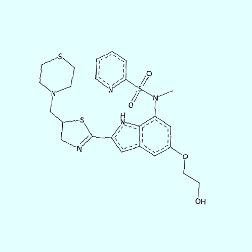 CN(c1cc(OCCO)cc2cc(C3=NCC(CN4CCSCC4)S3)[nH]c12)S(=O)(=O)c1ccccn1